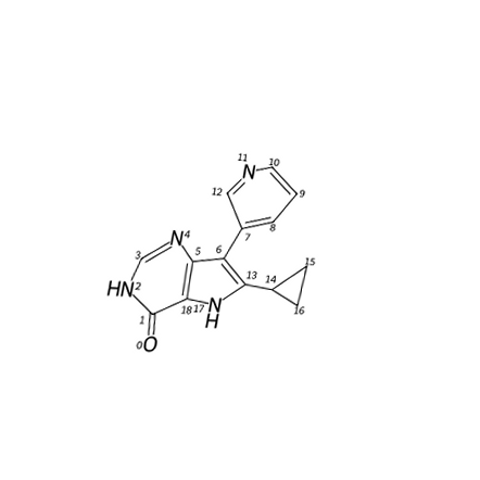 O=c1[nH]cnc2c(-c3cccnc3)c(C3CC3)[nH]c12